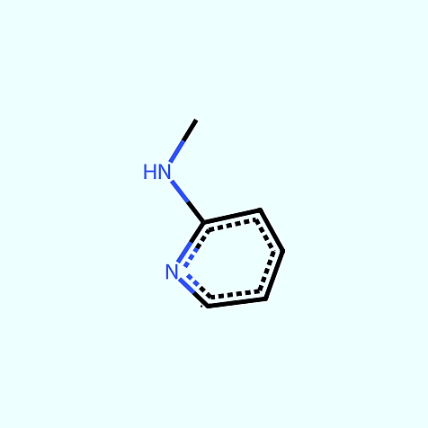 CNc1ccc[c]n1